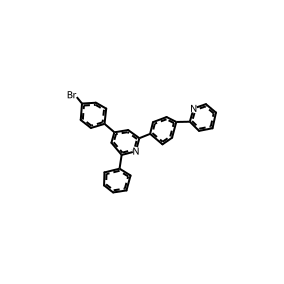 Brc1ccc(-c2cc(-c3ccccc3)nc(-c3ccc(-c4ccccn4)cc3)c2)cc1